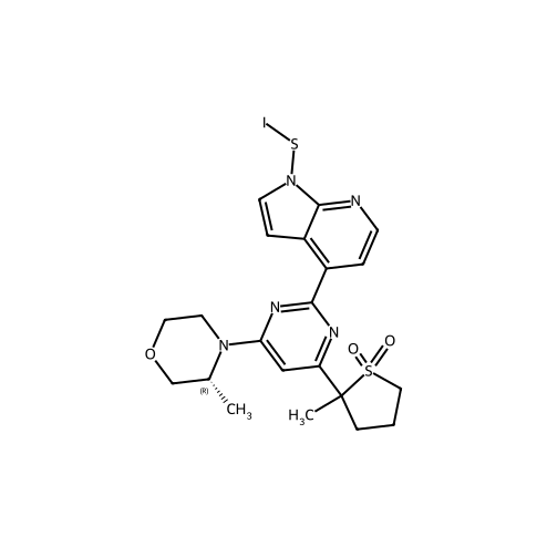 C[C@@H]1COCCN1c1cc(C2(C)CCCS2(=O)=O)nc(-c2ccnc3c2ccn3SI)n1